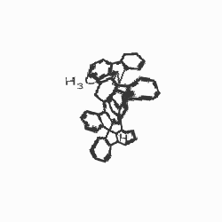 CC1Cc2c3c(cc4c2C(C1)c1ccccc1-4)C1(C2=C(C=CC=C=C2)C2C=CC=C(C4C=CC(n5c6c(c7ccccc75)CCC=C6)=CC4)[C@@H]21)c1ccccc1-3